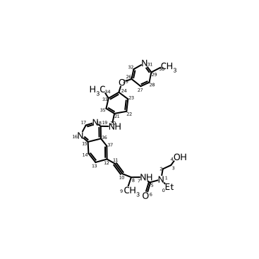 CCN(CCO)C(=O)NC(C)C#Cc1ccc2ncnc(Nc3ccc(Oc4ccc(C)nc4)c(C)c3)c2c1